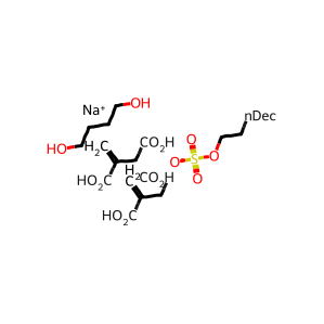 C=C(CC(=O)O)C(=O)O.C=C(CC(=O)O)C(=O)O.CCCCCCCCCCCCOS(=O)(=O)[O-].OCCCCO.[Na+]